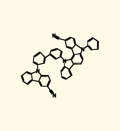 N#Cc1ccc2c(c1)c1ccccc1n2-c1cccc(-c2cccc(-n3c4ccccc4c4ccc5c(c6cc(C#N)ccc6n5-c5ccccc5)c43)c2)c1